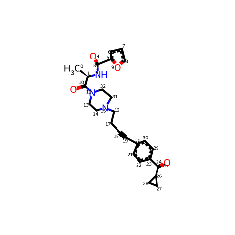 C[C@@H](NC(=O)c1ccco1)C(=O)N1CCN(CCC#Cc2ccc(C(=O)C3CC3)cc2)CC1